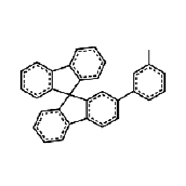 Ic1cccc(-c2ccc3c(c2)C2(c4ccccc4-c4ccccc42)c2ccccc2-3)c1